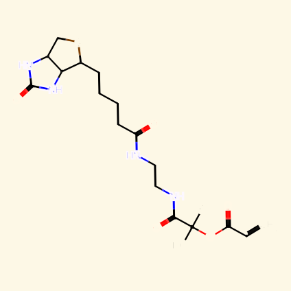 C=CC(=O)OC(C)(C)C(=O)NCCNC(=O)CCCCC1SCC2NC(=O)NC21